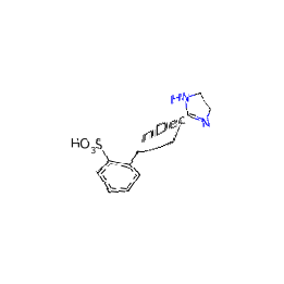 C1=NCCN1.CCCCCCCCCCCCc1ccccc1S(=O)(=O)O